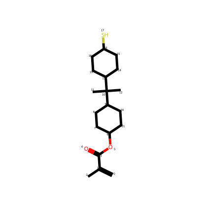 C=C(C)C(=O)OC1CCC(C(C)(C)C2CCC(S)CC2)CC1